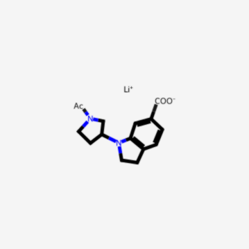 CC(=O)N1CCC(N2CCc3ccc(C(=O)[O-])cc32)C1.[Li+]